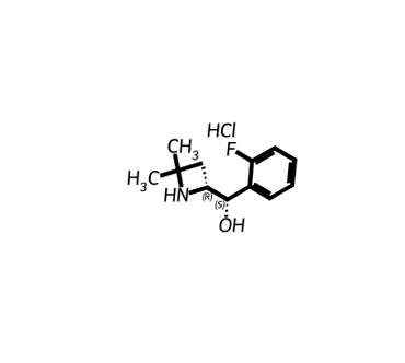 CC1(C)C[C@H]([C@@H](O)c2ccccc2F)N1.Cl